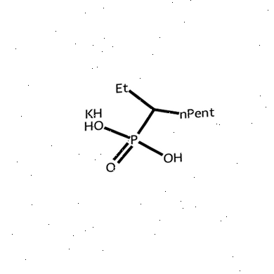 CCCCCC(CC)P(=O)(O)O.[KH]